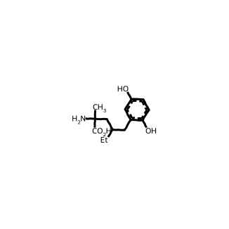 CCC(Cc1cc(O)ccc1O)CC(C)(N)C(=O)O